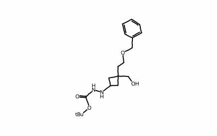 CC(C)(C)OC(=O)NNC1CC(CO)(CCOCc2ccccc2)C1